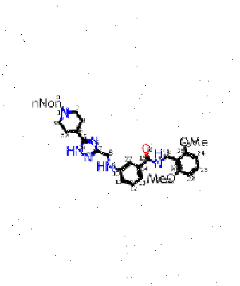 CCCCCCCCCN1CCC(c2nc(CNc3cccc(C(=O)NCc4c(OC)cccc4OC)c3)n[nH]2)CC1